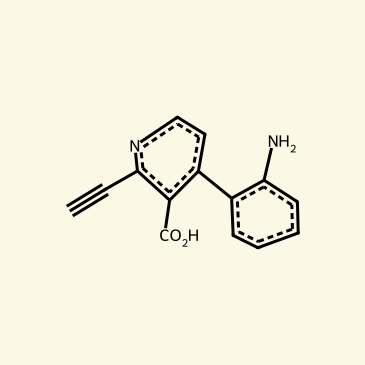 C#Cc1nccc(-c2ccccc2N)c1C(=O)O